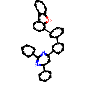 c1ccc(-c2cc(-c3cccc(-c4cccc(-c5cccc6c5oc5ccccc56)c4)c3)nc(-c3ccccc3)n2)cc1